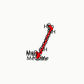 CC[C@H](C(=O)N1CCCC[C@H]1C(=O)O[C@H](CCc1ccc(OC)c(OC)c1)c1cccc(OCC(=O)NCCOCCOCCOCCOCCOCCOCCOCCOCCOCCNC(=O)COc2cccc3c2C(=O)N(C2CCC(=O)NC2=O)C3=O)c1)c1cc(OC)c(OC)c(OC)c1